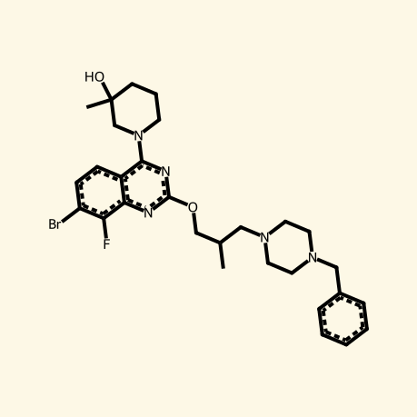 CC(COc1nc(N2CCCC(C)(O)C2)c2ccc(Br)c(F)c2n1)CN1CCN(Cc2ccccc2)CC1